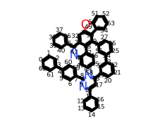 c1ccc(-c2ccc(-c3nc(-c4ccccc4)cc(-c4cccc(-c5cccc(-c6c7c(cc8c(-c9ccccc9)nc9ccccc9c68)oc6ccccc67)c5)c4)n3)cc2)cc1